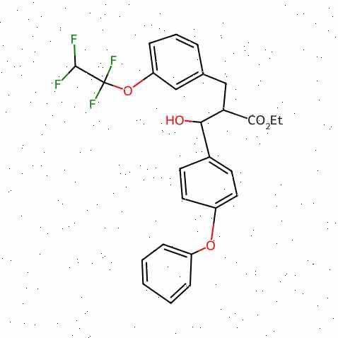 CCOC(=O)C(Cc1cccc(OC(F)(F)C(F)F)c1)C(O)c1ccc(Oc2ccccc2)cc1